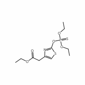 CCOC(=O)Cc1csc(OP(=S)(OCC)OCC)n1